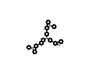 c1ccc(-n2c3ccccc3c3cc(-c4ccc5cc(N(c6ccc(-c7ccc8oc9ccccc9c8c7)cc6)c6ccc(-c7ccc8c9ccccc9n(-c9ccccc9)c8c7)cc6)ccc5c4)ccc32)cc1